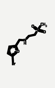 CS(=O)(=O)CCNCc1ccc(Br)o1